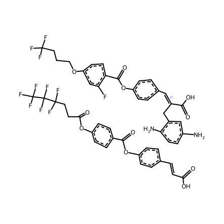 Nc1ccc(N)c(C/C(=C\c2ccc(OC(=O)c3ccc(OCCCC(F)(F)F)cc3F)cc2)C(=O)O)c1.O=C(O)C=Cc1ccc(OC(=O)c2ccc(OC(=O)CCC(F)(F)C(F)(F)C(F)(F)F)cc2)cc1